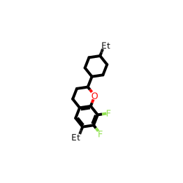 CCc1cc2c(c(F)c1F)OC(C1CCC(CC)CC1)CC2